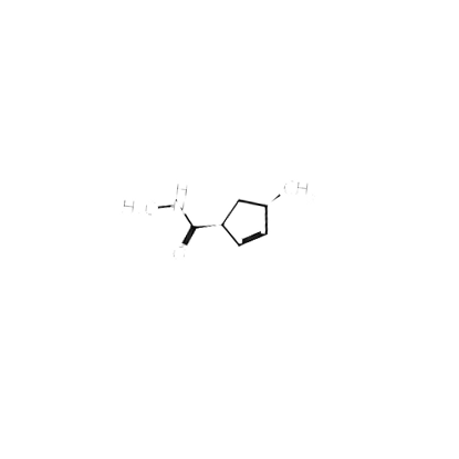 CNC(=O)[C@@H]1C=C[C@H](C)C1